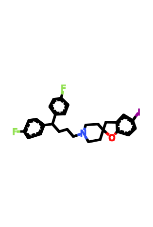 Fc1ccc(C(CCCN2CCC3(CC2)Cc2cc(I)ccc2O3)c2ccc(F)cc2)cc1